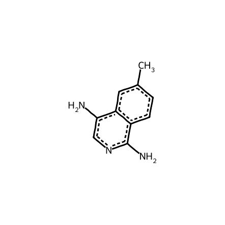 Cc1ccc2c(N)ncc(N)c2c1